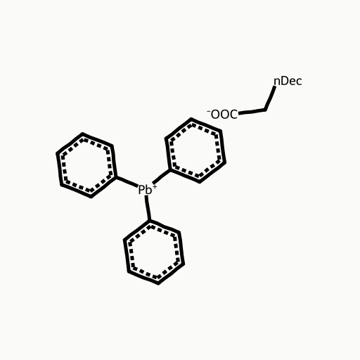 CCCCCCCCCCCC(=O)[O-].c1cc[c]([Pb+]([c]2ccccc2)[c]2ccccc2)cc1